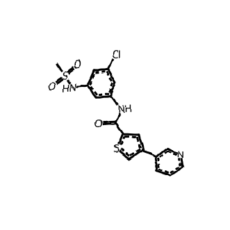 CS(=O)(=O)Nc1cc(Cl)cc(NC(=O)c2cc(-c3cccnc3)cs2)c1